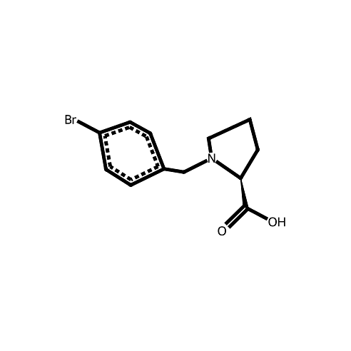 O=C(O)[C@@H]1CCCN1Cc1ccc(Br)cc1